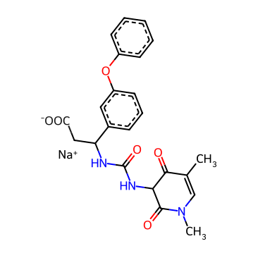 CC1=CN(C)C(=O)C(NC(=O)NC(CC(=O)[O-])c2cccc(Oc3ccccc3)c2)C1=O.[Na+]